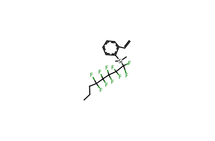 C=Cc1ccccc1[Si](C)(C)C(F)(F)C(F)(F)C(F)(F)C(F)(F)C(F)(F)CCC